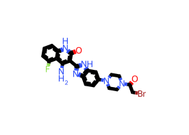 Nc1c(-c2nc3ccc(N4CCN(C(=O)CBr)CC4)cc3[nH]2)c(=O)[nH]c2cccc(F)c12